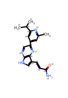 Cc1cc(-c2cnc3[nH]cc(/C=C/C(N)=O)c3n2)cc(C(C)C)n1